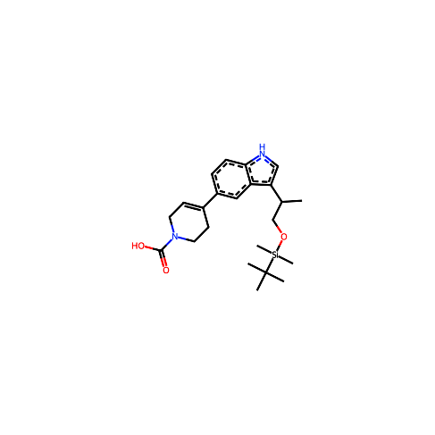 CC(CO[Si](C)(C)C(C)(C)C)c1c[nH]c2ccc(C3=CCN(C(=O)O)CC3)cc12